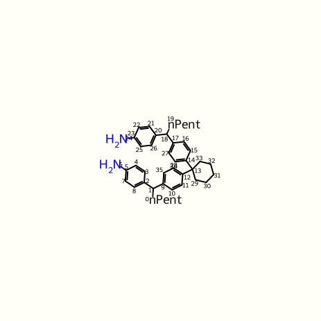 CCCCCC(c1ccc(N)cc1)c1ccc(C2(c3ccc(C(CCCCC)c4ccc(N)cc4)cc3)CCCCC2)cc1